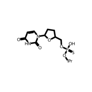 CC(C)OP(O)(=S)OCC1CCC(n2ccc(=O)[nH]c2=O)O1